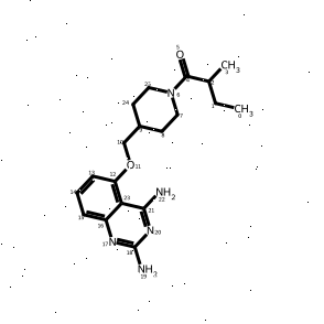 CCC(C)C(=O)N1CCC(COc2cccc3nc(N)nc(N)c23)CC1